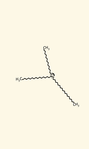 CCCCCCCCCCCCCCCCCCCN1C=CN(CCCCCCCCCCCCCC)C1CCCCCCCCCCCCCCCC